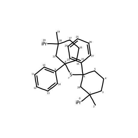 CC(C)C1(C)CCCC(SC2(c3ccccc3)CCCC(C)(C(C)C)C2)(c2ccccc2)C1